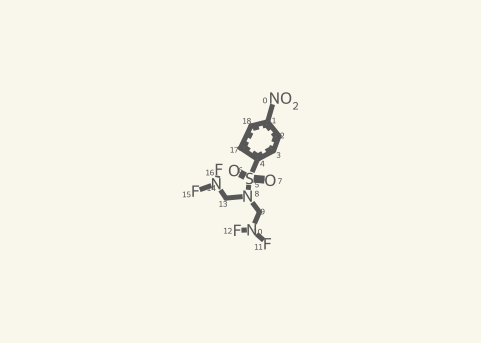 O=[N+]([O-])c1ccc(S(=O)(=O)N(CN(F)F)CN(F)F)cc1